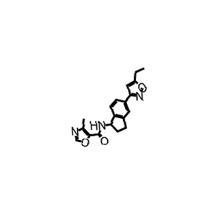 CCc1cc(-c2ccc3c(c2)CCC3NC(=O)c2ocnc2C)no1